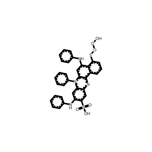 O=S(=O)(O)c1cc2nc3c4cccc(SOOO)c4c(Nc4ccccc4)cc3[n+](-c3ccccc3)c2cc1Nc1ccccc1